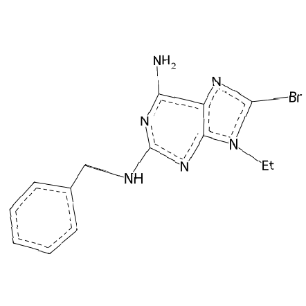 CCn1c(Br)nc2c(N)nc(NCc3ccccc3)nc21